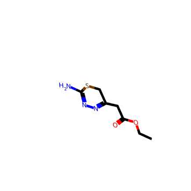 CCOC(=O)CC1=NN=C(N)SC1